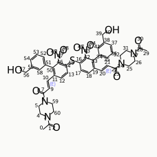 CC(=O)N1CCN(C(=O)/C=C/c2ccc(Sc3ccc(/C=C/C(=O)N4CCN(C(C)=O)CC4)c(-c4cccc(CO)c4)c3[N+](=O)[O-])c([N+](=O)[O-])c2-c2cccc(CO)c2)CC1